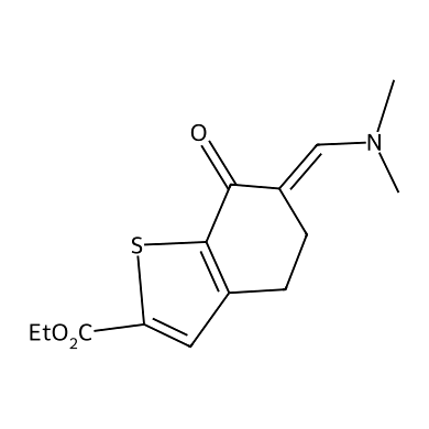 CCOC(=O)c1cc2c(s1)C(=O)C(=CN(C)C)CC2